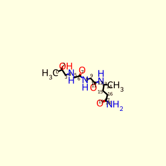 CC(O)CNCC(=O)NCC(=O)NC(C)CCC(N)=O